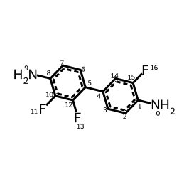 Nc1ccc(-c2ccc(N)c(F)c2F)cc1F